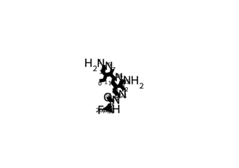 CCc1cc(N)ncc1-c1cc2cc(NC(=O)[C@@H]3C[C@@H]3F)ncc2c(N)n1